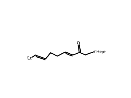 CCC=CCCC=CC(=O)CCCCCCCC